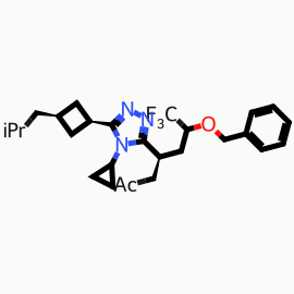 CC(=O)C[C@H](CC(OCc1ccccc1)C(F)(F)F)c1nnc([C@H]2C[C@@H](CC(C)C)C2)n1C1CC1